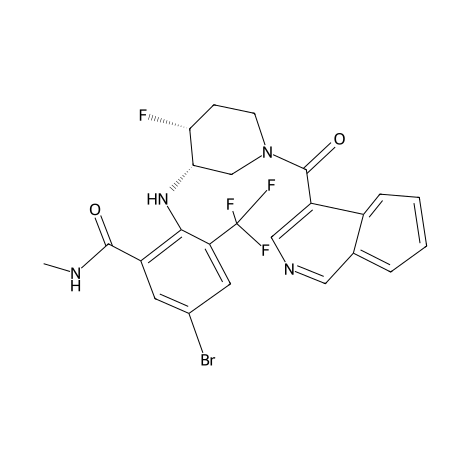 CNC(=O)c1cc(Br)cc(C(F)(F)F)c1N[C@H]1CN(C(=O)c2cncc3ccccc23)CC[C@H]1F